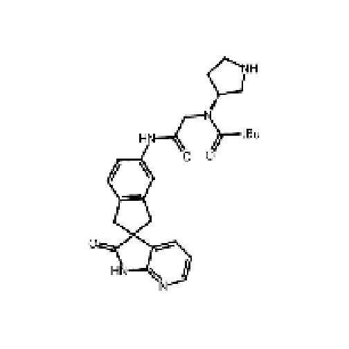 CC(C)(C)C(=O)N(CC(=O)Nc1ccc2c(c1)CC1(C2)C(=O)Nc2ncccc21)[C@H]1CCNC1